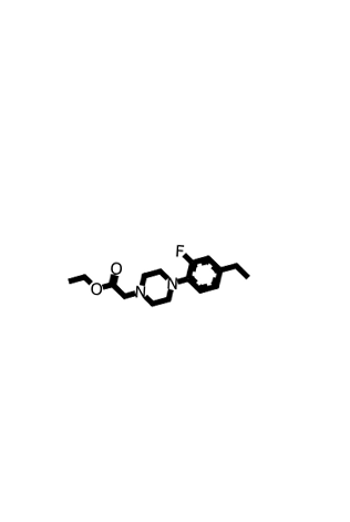 CCOC(=O)CN1CCN(c2ccc(CC)cc2F)CC1